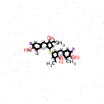 C=Cc1cc(Sc2cc(C=C)c(O)c(Cc3cc(I)c(O)c(I)c3)c2)cc(Cc2cc(C)c(O)c(I)c2)c1O